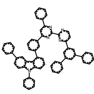 c1ccc(-c2cc(-c3ccccc3)cc(-c3ccnc(-c4nc(-c5ccccc5)cc(-c5cccc(-c6cccc7c6c6cc(-c8ccccc8)ccc6n7-c6ccccc6)c5)n4)n3)c2)cc1